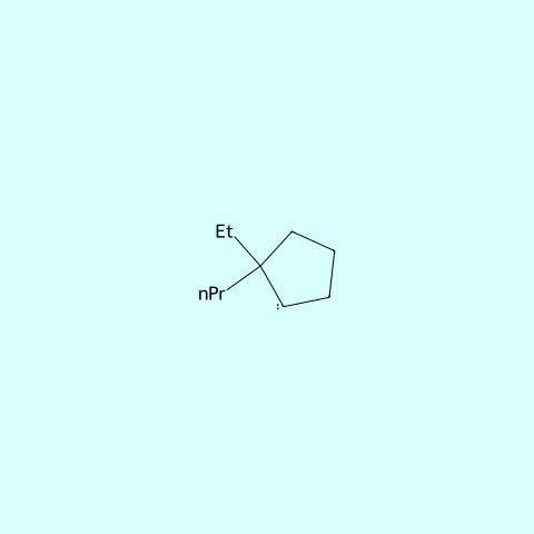 CCCC1(CC)[C]CCC1